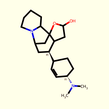 CN(C)[C@@H]1C=CC([C@H]2CC3CC4(OC(O)CC24)C2CCCCN32)CC1